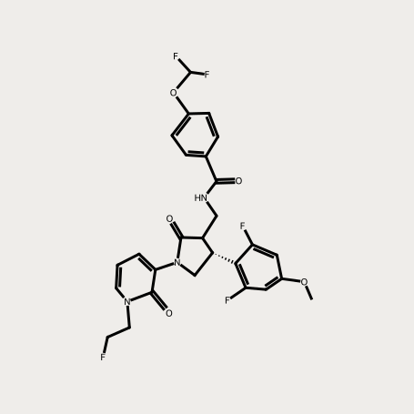 COc1cc(F)c([C@@H]2CN(c3cccn(CCF)c3=O)C(=O)C2CNC(=O)c2ccc(OC(F)F)cc2)c(F)c1